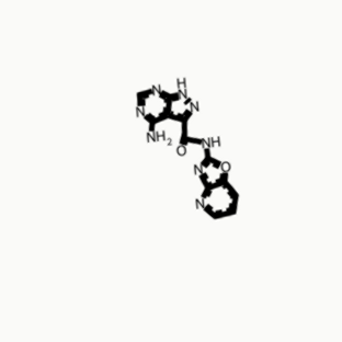 Nc1ncnc2[nH]nc(C(=O)Nc3nc4ncccc4o3)c12